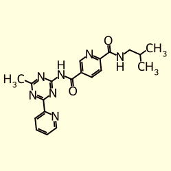 Cc1nc(NC(=O)c2ccc(C(=O)NCC(C)C)nc2)nc(-c2ccccn2)n1